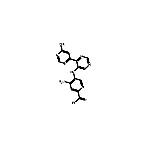 CCC(=O)c1cc(C)c(Nc2cncnc2-c2cc(N)ncn2)cn1